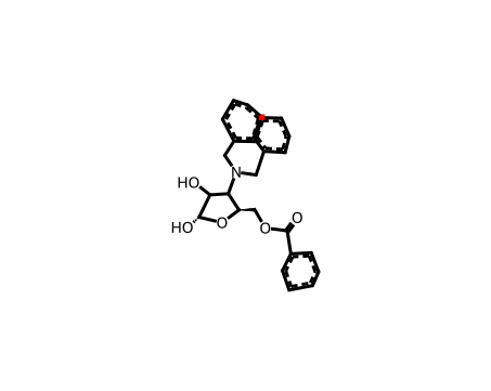 O=C(OC[C@H]1O[C@H](O)C(O)C1N(Cc1ccccc1)Cc1ccccc1)c1ccccc1